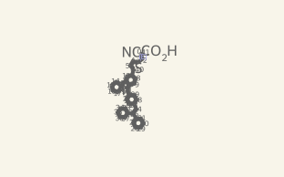 N#C/C(=C\c1ccc(-c2ccc3c(c2)c2ccccc2n3-c2ccc(C=C(c3ccccc3)c3ccccc3)cc2)s1)C(=O)O